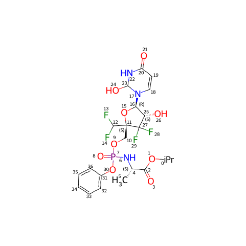 CC(C)OC(=O)[C@H](C)NP(=O)(OC[C@@]1(C(F)F)O[C@@H](N2C=CC(=O)NC2O)[C@H](O)C1(F)F)Oc1ccccc1